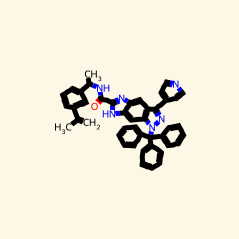 C=C(C)c1cccc(C(C)NC(=O)c2nc3cc4c(-c5ccncc5)nn(C(c5ccccc5)(c5ccccc5)c5ccccc5)c4cc3[nH]2)c1